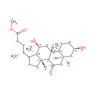 COC(=O)CC[C@@H](C)C1CC[C@H]2[C@@H]3C(=O)C[C@@H]4C[C@H](O)CC[C@]4(C)[C@H]3C[C@H](O)[C@]12C